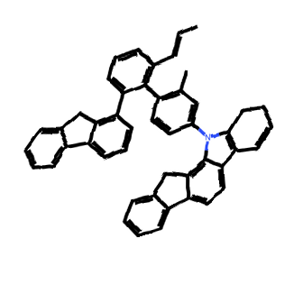 C/C=C/c1cccc(-c2cccc3c2Cc2ccccc2-3)c1-c1ccc(-n2c3c(c4ccc5c(c42)Cc2ccccc2-5)C=CCC3)cc1C